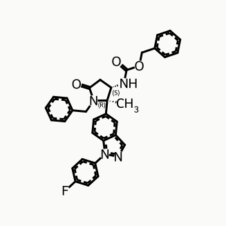 C[C@@]1(c2ccc3c(cnn3-c3ccc(F)cc3)c2)[C@@H](NC(=O)OCc2ccccc2)CC(=O)N1Cc1ccccc1